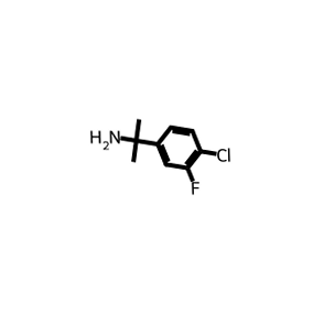 CC(C)(N)c1ccc(Cl)c(F)c1